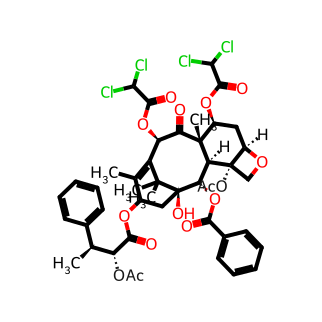 CC(=O)O[C@@H](C(=O)OC1C[C@@]2(O)[C@@H](OC(=O)c3ccccc3)[C@@H]3[C@]4(OC(C)=O)CO[C@@H]4C[C@H](OC(=O)C(Cl)Cl)[C@@]3(C)C(=O)[C@H](OC(=O)C(Cl)Cl)C(=C1C)C2(C)C)[C@@H](C)c1ccccc1